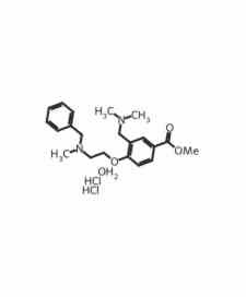 COC(=O)c1ccc(OCCN(C)Cc2ccccc2)c(CN(C)C)c1.Cl.Cl.O